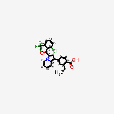 CCc1cc(-c2cc(C(=O)c3c(Cl)cccc3C(F)(F)F)n3ccccc23)ccc1C(=O)O